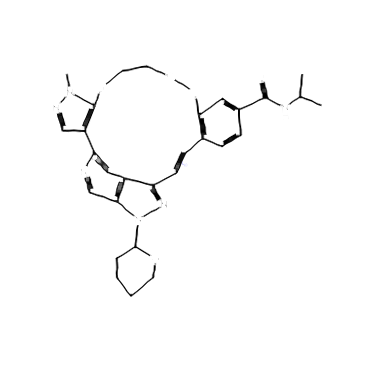 CC(C)NC(=O)c1ccc2c(c1)OCCCOc1c(cnn1C)-c1cc3c(nn(C4CCCCO4)c3cn1)/C=C/2